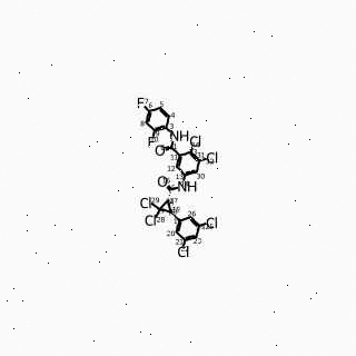 O=C(Nc1ccc(F)cc1F)c1cc(NC(=O)[C@@H]2[C@@H](c3cc(Cl)cc(Cl)c3)C2(Cl)Cl)cc(Cl)c1Cl